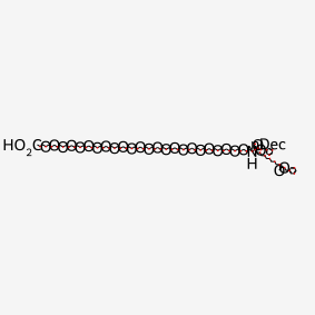 CCCCCCCCCCCC(CCCCCCCCCCC(=O)OCc1ccccc1)(NCCOCCOCCOCCOCCOCCOCCOCCOCCOCCOCCOCCOCCOCCOCCOCCOCCOCCOCCOCCOCCOCCOCCOCCOCCC(=O)O)C(=O)OCc1ccccc1